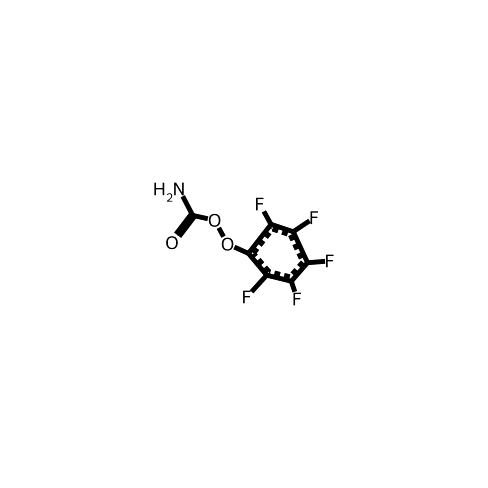 NC(=O)OOc1c(F)c(F)c(F)c(F)c1F